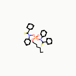 CCCCCCOP(=O)(ON(C(=S)c1ccccc1)c1ccccc1)ON(C(=S)c1ccccc1)c1ccccc1